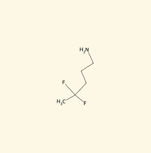 CC(F)(F)CCCN